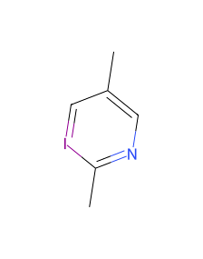 CC1=CN=C(C)I=C1